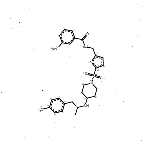 COc1cccc(C(=O)NCc2ccc(S(=O)(=O)N3CCC(NC(C)Cc4ccc(C(F)(F)F)cc4)CC3)s2)c1